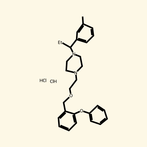 CCC(c1cccc(C)c1)N1CCN(CCOCc2ccccc2Oc2ccccc2)CC1.Cl.Cl